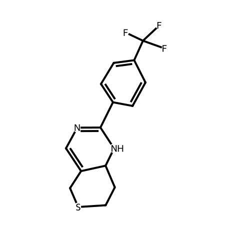 FC(F)(F)c1ccc(C2=NC=C3CSCCC3N2)cc1